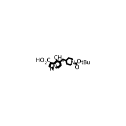 Cc1c(CC2CCN(C(=O)OC(C)(C)C)CC2)ccn2ncc(C(=O)O)c12